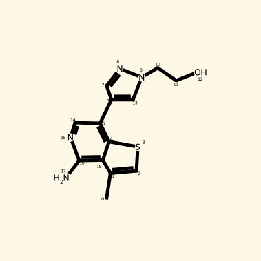 Cc1csc2c(-c3cnn(CCO)c3)cnc(N)c12